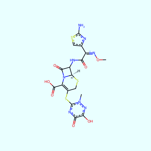 CO/N=C(\C(=O)NC1C(=O)N2C(C(=O)O)=C(Sc3nc(=O)c(O)nn3C)CS[C@H]12)c1csc(N)n1